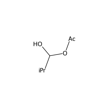 CC(=O)OC(O)C(C)C